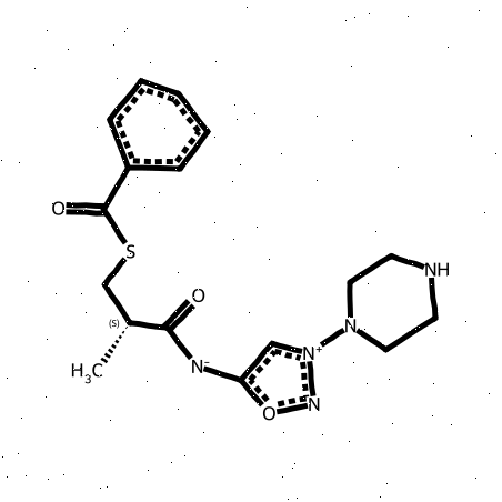 C[C@H](CSC(=O)c1ccccc1)C(=O)[N-]c1c[n+](N2CCNCC2)no1